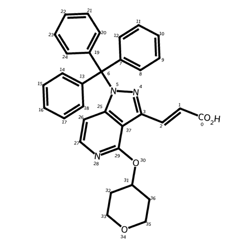 O=C(O)/C=C/c1nn(C(c2ccccc2)(c2ccccc2)c2ccccc2)c2ccnc(OC3CCOCC3)c12